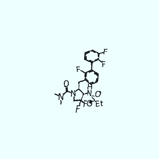 CCS(=O)(=O)N[C@@H]1[C@H](Cc2cccc(-c3cccc(F)c3F)c2F)N(C(=O)N(C)C)CC1(F)F